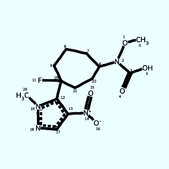 CON(C(=O)O)C1CCCC(F)(c2c([N+](=O)[O-])cnn2C)CC1